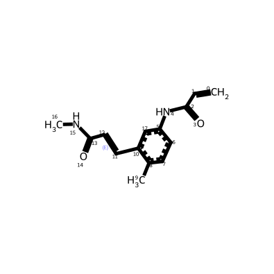 C=CC(=O)Nc1ccc(C)c(/C=C/C(=O)NC)c1